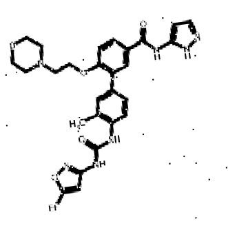 CCc1cc(NC(=O)Nc2ccc(-c3cc(C(=O)Nc4ccn[nH]4)ccc3OCCN3CCOCC3)cc2C)no1